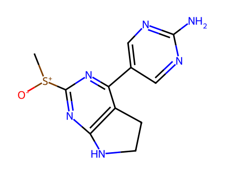 C[S+]([O-])c1nc2c(c(-c3cnc(N)nc3)n1)CCN2